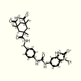 CCn1c(=O)[nH]c2cc(NC(=O)Nc3ccc(CNC(=O)C4(C)CC5(C)CC(C)(C4)C(=O)NC5=O)cc3)ccc21